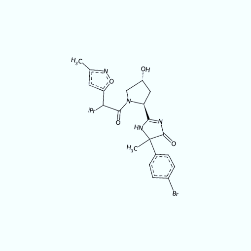 Cc1cc(C(C(=O)N2C[C@H](O)C[C@H]2C2=NC(=O)C(C)(c3ccc(Br)cc3)N2)C(C)C)on1